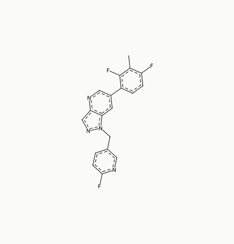 Cc1c(F)ccc(-c2cnc3cnn(Cc4ccc(F)nc4)c3c2)c1F